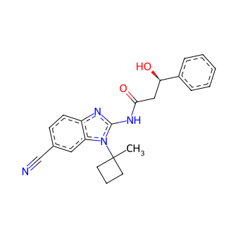 CC1(n2c(NC(=O)C[C@@H](O)c3ccccc3)nc3ccc(C#N)cc32)CCC1